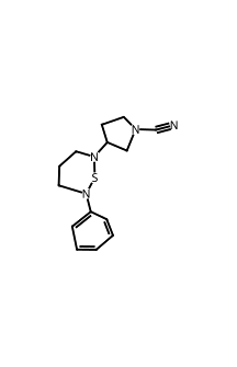 N#CN1CCC(N2CCCN(c3ccccc3)S2)C1